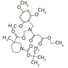 CCOC(=O)CC(=O)N(COC(=O)C1(C)CCCN(C(=O)OC(C)(C)C)C1)Cc1c(OC)cc(OC)cc1OC